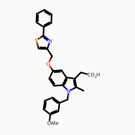 COc1cccc(Cn2c(C)c(CC(=O)O)c3cc(OCc4csc(-c5ccccc5)n4)ccc32)c1